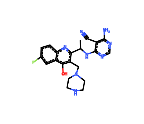 CC(Nc1ncnc(N)c1C#N)c1nc2ccc(F)cc2c(O)c1CN1CCNCC1